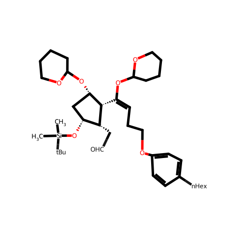 CCCCCCc1ccc(OCC/C=C(/OC2CCCCO2)[C@@H]2[C@H](CC=O)[C@H](O[Si](C)(C)C(C)(C)C)C[C@@H]2OC2CCCCO2)cc1